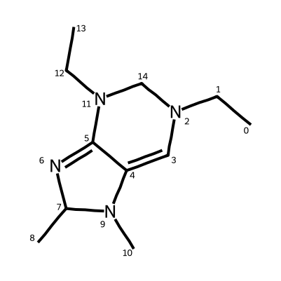 CCN1C=C2C(=NC(C)N2C)N(CC)C1